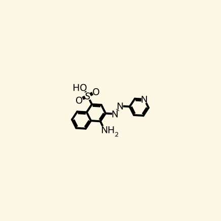 Nc1c(/N=N/c2cccnc2)cc(S(=O)(=O)O)c2ccccc12